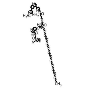 CCCCOCCOCCOCCOCCOCCOCCOCCOCCOCCOCCOCCOCCNC(=O)C(CSSCCCC(=O)OCc1ccc(-c2ccnc3ccc(-c4cnc(OC)c(N)c4)cc23)cn1)NC(=O)COc1ccc2nccc(C(=O)NCC(=O)N3CC(F)(F)C[C@H]3C#N)c2c1